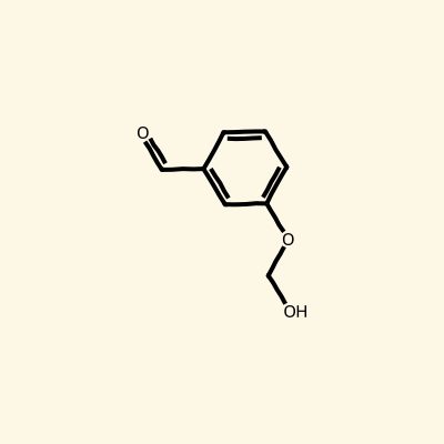 O=Cc1cccc(OCO)c1